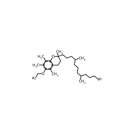 CC(=O)COc1c(C)c(C)c2c(c1C)CCC(C)(CCCC(C)CCCC(C)CCCC(C)C)O2